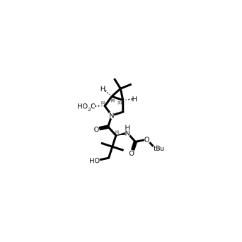 CC(C)(C)OC(=O)N[C@H](C(=O)N1C[C@H]2[C@@H]([C@H]1C(=O)O)C2(C)C)C(C)(C)CO